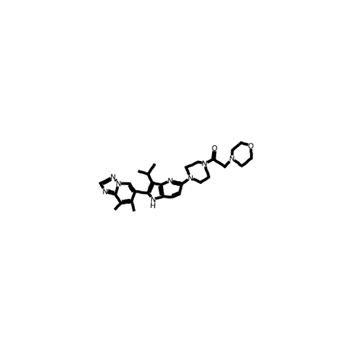 Cc1c(-c2[nH]c3ccc(N4CCN(C(=O)CN5CCOCC5)CC4)nc3c2C(C)C)cn2ncnc2c1C